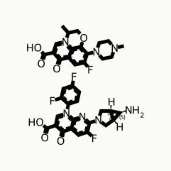 CC1COc2c(N3CCN(C)CC3)c(F)cc3c(=O)c(C(=O)O)cn1c23.N[C@@H]1[C@H]2CN(c3nc4c(cc3F)c(=O)c(C(=O)O)cn4-c3ccc(F)cc3F)C[C@@H]12